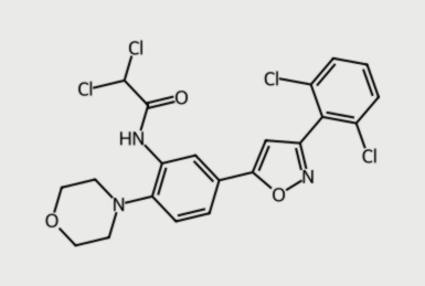 O=C(Nc1cc(-c2cc(-c3c(Cl)cccc3Cl)no2)ccc1N1CCOCC1)C(Cl)Cl